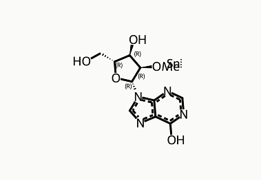 CO[C@@H]1[C@H](O)[C@@H](CO)O[C@H]1n1cnc2c(O)ncnc21.[Sn]